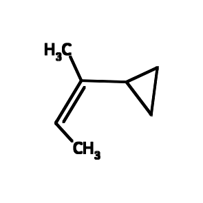 C/C=C(/C)C1CC1